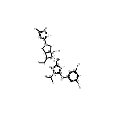 CCC1C2CN(c3nc(C)no3)C[C@H]2[C@@H]1Nc1nc(Oc2cc(F)cc(Cl)c2)n(C(C)C)n1